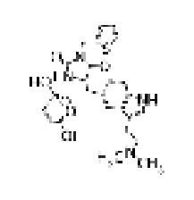 CN(C)CCc1c[nH]c2ccc(CC3NC(=O)N(Cc4cccs4)C3=O)cc12.O=C(O)/C=C\C(=O)O